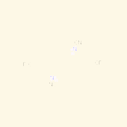 [C-]#[N+]/N=c1\c2ccccc2c2c(-c3ccc(C(F)(F)F)cc3)c3/c(=N/C#N)c4ccccc4c3c(-c3ccc(C(F)(F)F)cc3)c12